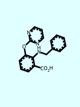 O=C(O)c1cccc(Oc2ncccn2)c1NCc1ccccc1